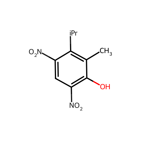 Cc1c(O)c([N+](=O)[O-])cc([N+](=O)[O-])c1C(C)C